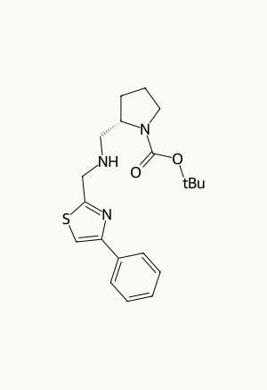 CC(C)(C)OC(=O)N1CCC[C@H]1CNCc1nc(-c2ccccc2)cs1